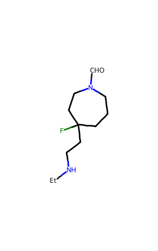 CCNCCC1(F)CCCN(C=O)CC1